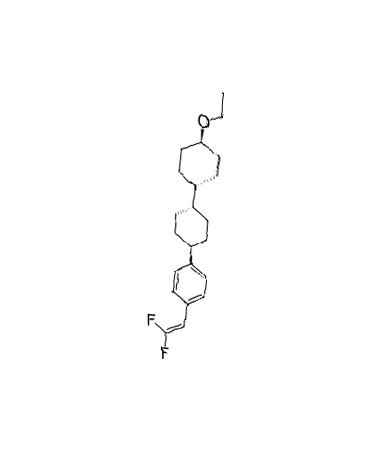 CCO[C@H]1CC[C@H]([C@H]2CC[C@H](c3ccc(C=C(F)F)cc3)CC2)CC1